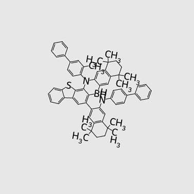 Cc1cc(-c2ccccc2)ccc1N1c2cc3c(cc2Bc2c(-c4cc5c(cc4Nc4ccc(-c6ccccc6)cc4)C(C)(C)CCC5(C)C)cc4c(sc5ccccc54)c21)C(C)(C)CCC3(C)C